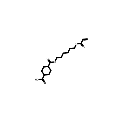 C=CC(=O)OCCCCCCOC(=O)C1CCC(C(=O)O)CC1